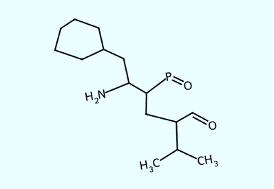 CC(C)C(C=O)CC(P=O)C(N)CC1CCCCC1